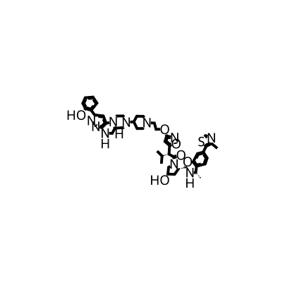 Cc1ncsc1-c1ccc([C@H](C)NC(=O)[C@@H]2C[C@@H](O)CN2C(=O)[C@@H](c2cc(OCCN3CCC(N4CCN5c6cc(-c7ccccc7O)nnc6NC[C@H]5C4)CC3)no2)C(C)C)cc1